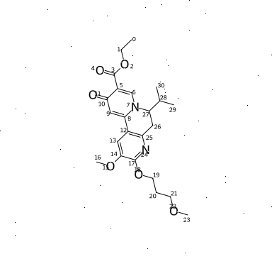 CCOC(=O)c1cn2c(cc1=O)-c1cc(OC)c(OCCCOC)nc1CC2C(C)C